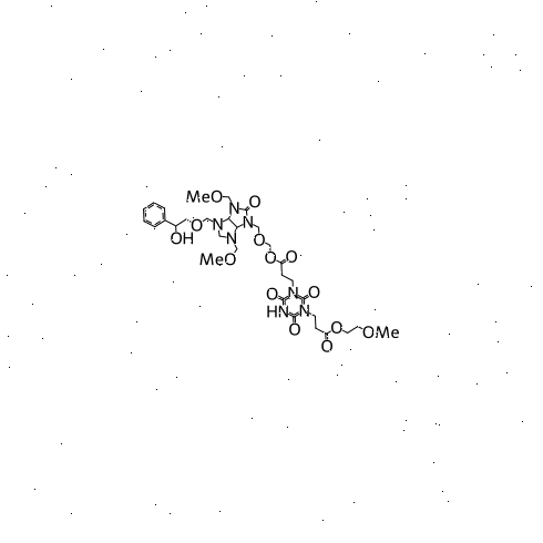 COCCOC(=O)CCn1c(=O)[nH]c(=O)n(CCC(=O)OCOCN2C(=O)N(COC)C3C2N(COC)CN3COCC(O)c2ccccc2)c1=O